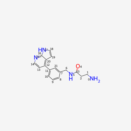 NCCC(=O)NCc1cccc(-c2ccnc3[nH]ccc23)c1